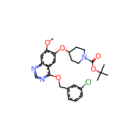 COc1cc2ncnc(OCc3cccc(Cl)c3)c2cc1OC1CCN(C(=O)OC(C)(C)C)CC1